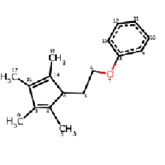 CC1=C(C)C(CCOc2ccccc2)C(C)=C1C